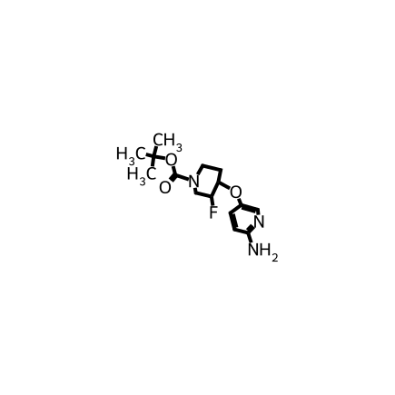 CC(C)(C)OC(=O)N1CCC(Oc2ccc(N)nc2)C(F)C1